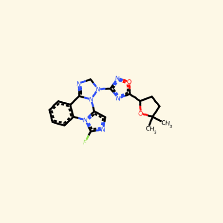 CC1(C)CCC(c2nc(N3CN=C4c5ccccc5-n5c(cnc5F)N43)no2)O1